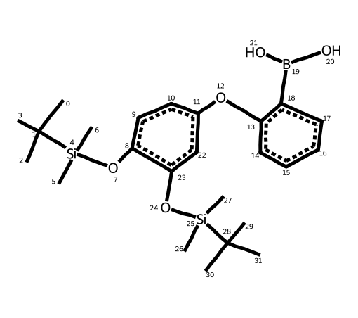 CC(C)(C)[Si](C)(C)Oc1ccc(Oc2ccccc2B(O)O)cc1O[Si](C)(C)C(C)(C)C